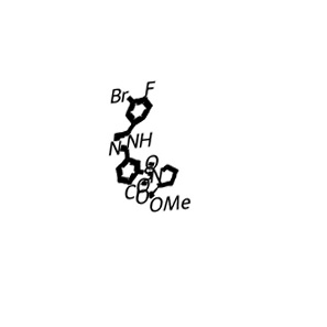 COC(=O)[C@@H]1CCCN1S(=O)(=O)c1cc(-c2ncc(-c3ccc(F)c(Br)c3)[nH]2)ccc1Cl